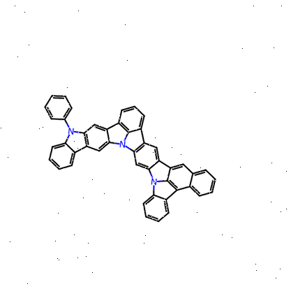 c1ccc(-n2c3ccccc3c3cc4c(cc32)c2cccc3c5cc6c7cc8ccccc8c8c9ccccc9n(c6cc5n4c23)c78)cc1